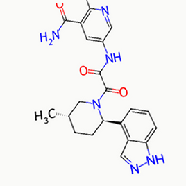 COc1ncc(NC(=O)C(=O)N2C[C@@H](C)CC[C@@H]2c2cccc3[nH]ncc23)cc1C(N)=O